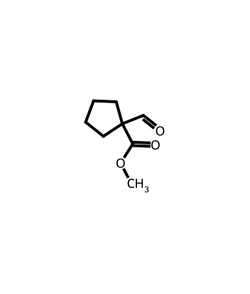 COC(=O)C1(C=O)CCCC1